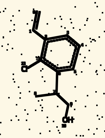 C=Cc1cccc([C](C)CO)c1Cl